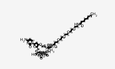 C=NCCCCCC(=O)NCCOCCOCCOCCOCCC(=O)NCC(C)(C)SSCO[C@@H]1C[C@H](n2ccc(N)nc2=O)O[C@@H]1COP(=O)(O)OP(=O)(O)OP(=O)(O)O